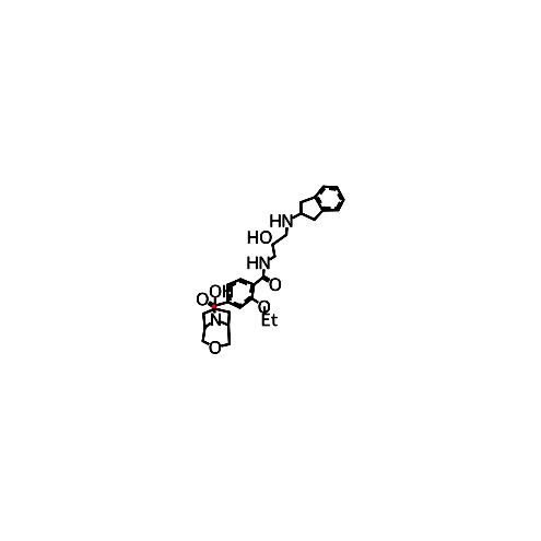 CCOc1cc(C(=O)N2C3COCC2CC(O)C3)ccc1C(=O)NCC(O)CNC1Cc2ccccc2C1